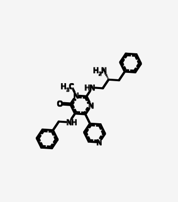 Cn1c(NC[C@H](N)Cc2ccccc2)nc(-c2ccncc2)c(NCc2ccccc2)c1=O